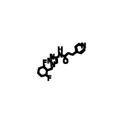 O=C(CCc1ccncc1)Nc1cn(CC2C(F)CCCC2F)nn1